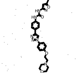 Cc1cc(NC(=O)Nc2ccc(-c3cn(-c4ccc(OCCN5CCOCC5)cc4)nn3)cc2)no1